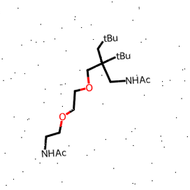 CC(=O)NCCOCCOCC(CNC(C)=O)(CC(C)(C)C)C(C)(C)C